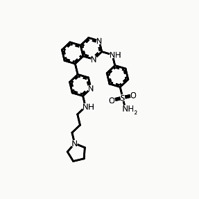 NS(=O)(=O)c1ccc(Nc2ncc3cccc(-c4ccc(NCCCN5CCCC5)nc4)c3n2)cc1